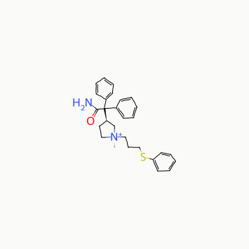 C[N@+]1(CCCSc2ccccc2)CC[C@@H](C(C(N)=O)(c2ccccc2)c2ccccc2)C1